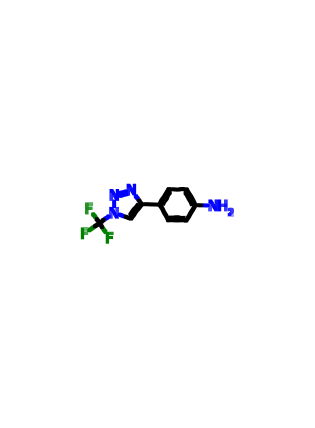 Nc1ccc(-c2cn(C(F)(F)F)nn2)cc1